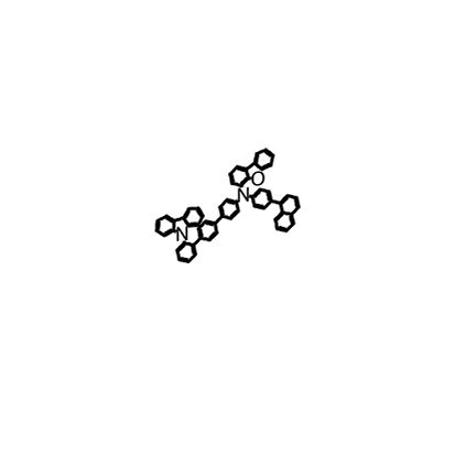 c1ccc(-n2c3ccccc3c3ccccc32)c(-c2ccc(-c3ccc(N(c4ccc(-c5cccc6ccccc56)cc4)c4cccc5c4oc4ccccc45)cc3)cc2)c1